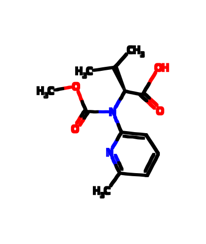 COC(=O)N(c1cccc(C)n1)[C@H](C(=O)O)C(C)C